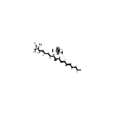 Br.CCCCCCCCCCCCCCCC[N+](C)(C)C.P.[Br-]